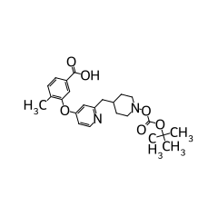 Cc1ccc(C(=O)O)cc1Oc1ccnc(CC2CCN(OC(=O)OC(C)(C)C)CC2)c1